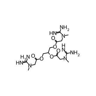 CN(CC(=O)OCC(COC(=O)CN(C)C(=N)N)OC(=O)CN(C)C(=N)N)C(=N)N